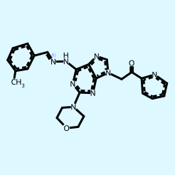 Cc1cccc(/C=N/Nc2nc(N3CCOCC3)nc3c2ncn3CC(=O)c2ccccn2)c1